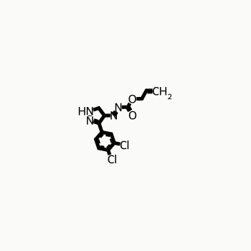 C=CCOC(=O)N=NC1CNN=C1c1ccc(Cl)c(Cl)c1